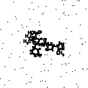 Cn1nncc1-c1csc(C(=O)N[C@H](Cc2cccc(F)c2)CN(C(=O)O)C(C)(C)C)c1